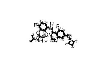 CC(C)NC(=O)[C@@H](C)Oc1cc(F)ccc1Nc1ncnc2cc(N=S3CCC3)cc(F)c12